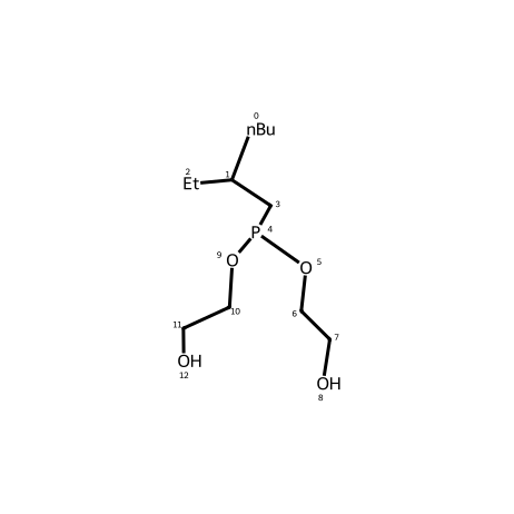 CCCCC(CC)CP(OCCO)OCCO